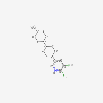 CCCCC1CCC(C2CCC(c3cnc(F)c(F)c3)CC2)CC1